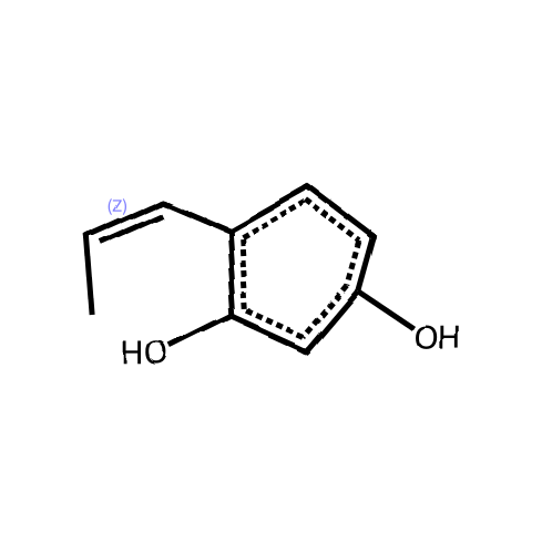 C/C=C\c1ccc(O)cc1O